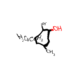 CC1CCC(C(C)C)C(O)C1.[CaH2].[CaH2]